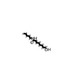 CCCCCNC(=O)CCCCCCCO